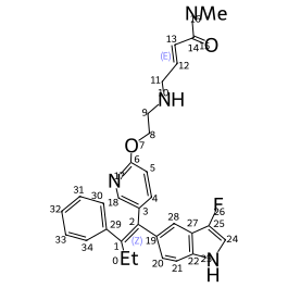 CC/C(=C(/c1ccc(OCCNC/C=C/C(=O)NC)nc1)c1ccc2[nH]cc(F)c2c1)c1ccccc1